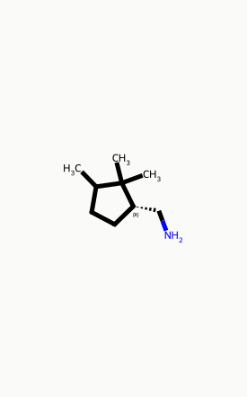 CC1CC[C@@H](CN)C1(C)C